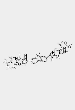 CCCN(C(=O)[C@@H](NC(=O)OC)C(C)C)[C@@H](C)c1ncc(-c2ccc3c(c2)C(C)(C)c2cc(-c4cnc([C@H](C)N(CCC)C(=O)[C@@H](NC(=O)OC)C(C)C)[nH]4)ccc2-3)[nH]1